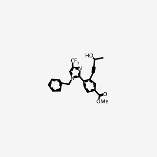 COC(=O)c1ccc(-c2nc(C(F)(F)F)cn2Cc2ccccc2)c(C#CC(C)O)c1